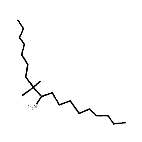 CCCCCCCCCC(N)C(C)(C)CCCCCCC